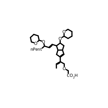 CC=C(COCC(=O)O)C1=CC2CC(OC3CCCCO3)C(C=CC(CCCCC)OC3CCCCO3)C2C1